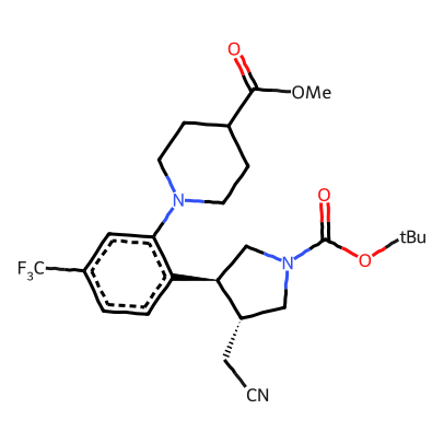 COC(=O)C1CCN(c2cc(C(F)(F)F)ccc2[C@H]2CN(C(=O)OC(C)(C)C)C[C@@H]2CC#N)CC1